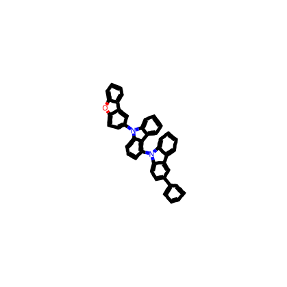 c1ccc(-c2ccc3c(c2)c2ccccc2n3-c2cccc3c2c2ccccc2n3-c2ccc3oc4ccccc4c3c2)cc1